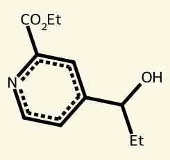 CCOC(=O)c1cc(C(O)CC)ccn1